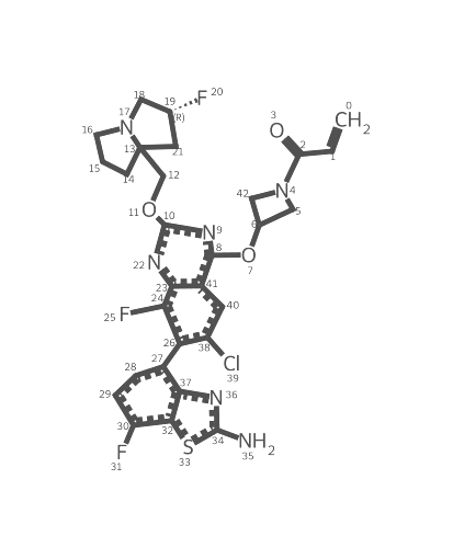 C=CC(=O)N1CC(Oc2nc(OCC34CCCN3C[C@H](F)C4)nc3c(F)c(-c4ccc(F)c5sc(N)nc45)c(Cl)cc23)C1